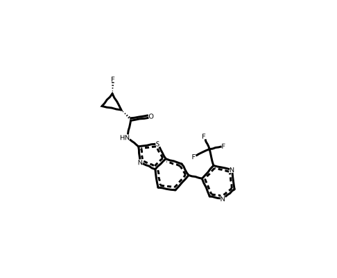 O=C(Nc1nc2ccc(-c3cncnc3C(F)(F)F)cc2s1)[C@@H]1C[C@@H]1F